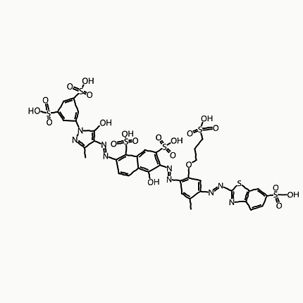 Cc1cc(N=Nc2c(S(=O)(=O)O)cc3c(S(=O)(=O)O)c(N=Nc4c(C)nn(-c5cc(S(=O)(=O)O)cc(S(=O)(=O)O)c5)c4O)ccc3c2O)c(OCCCS(=O)(=O)O)cc1N=Nc1nc2ccc(S(=O)(=O)O)cc2s1